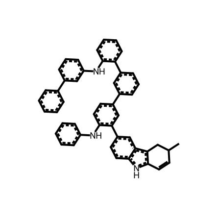 CC1C=Cc2[nH]c3ccc(-c4cc(-c5cccc(-c6ccccc6Nc6cccc(-c7ccccc7)c6)c5)ccc4Nc4ccccc4)cc3c2C1